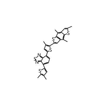 Cc1cc2c(C)c3sc(-c4sc(-c5ccc(-c6cc(C)c(C)s6)c6nsnc56)cc4C)cc3c(C)c2s1